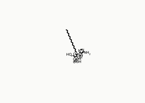 CCCCCCCCCCCCCCCC[C@@]1(n2cnc3c(N)ncnc32)O[C@H](CO)[C@@H](OP(=O)(O)O)[C@H]1O